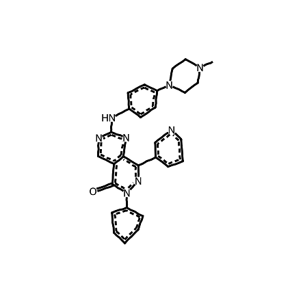 CN1CCN(c2ccc(Nc3ncc4c(=O)n(-c5ccccc5)nc(-c5cccnc5)c4n3)cc2)CC1